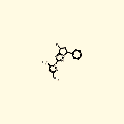 Cc1cc(N)nn1-c1nc2n(n1)C(c1ccccc1)CC2F